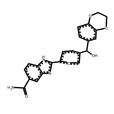 NC(=O)c1ccc2[nH]c(-c3ccc(C(O)c4ccc5c(c4)OCCO5)cc3)nc2c1